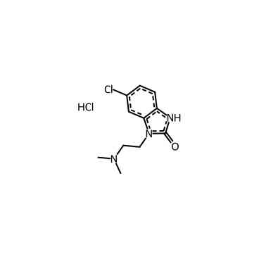 CN(C)CCn1c(=O)[nH]c2ccc(Cl)cc21.Cl